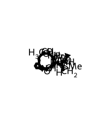 C=C[C@H](SC)C(NC(=O)[C@@H]1C[C@@H]2CN1C(=O)[C@H](C(C)C)NC(=O)OC(C)(C)CC/C=C/c1cccc3c1CN(C3)C(=O)O2)C(=O)NS(=O)(=O)C1CC1